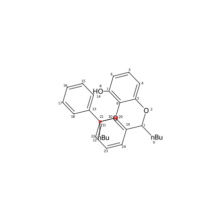 CCCCC(Oc1cccc(O)c1OC(CCCC)c1ccccc1)c1ccccc1